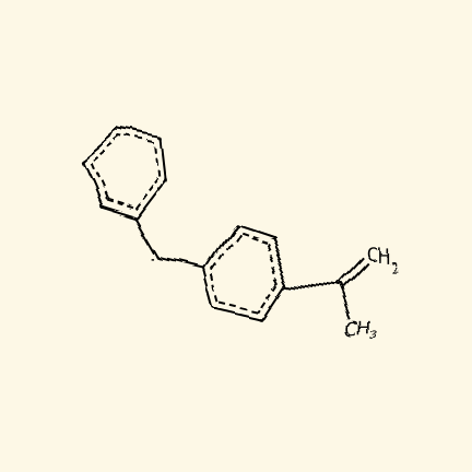 C=C(C)c1ccc([CH]c2ccccc2)cc1